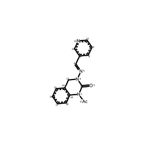 CC(=O)N1C(=O)N(/N=C/c2cccnc2)Cc2ccccc21